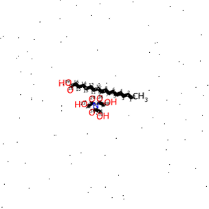 CCCCC=CC=CC=CCCCCCCCC(=O)O.O=C(CO)N(C(=O)CO)C(=O)CO